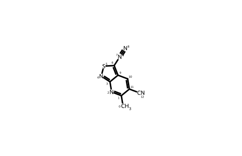 Cc1nc2nsc([N+]#N)c2cc1C#N